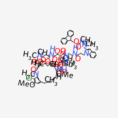 COc1cc2cc(c1Cl)N(C)C(=O)C[C@H](OC(=O)[C@H](C)N(C)C(=O)CCNC(=O)[C@@H](O)C(O[Si](C)(C)C(C)(C)C)C(=O)NCCNC(=O)CCn1c(CN(C)N(C)C(=O)OCC3c4ccccc4-c4ccccc43)cc3ccccc31)[C@@]1(C)CC(C)(O1)[C@@H]1C[C@@](O)(NC(=O)O1)[C@H](OC)/C=C/C=C(\C)C2